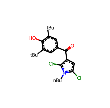 CCCCn1c(Cl)cc(C(=O)c2cc(C(C)(C)C)c(O)c(C(C)(C)C)c2)c1Cl